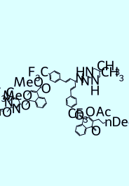 CC1(C)CNC(=NN=C(C=Cc2ccc(C(F)(F)F)cc2)C=Cc2ccc(C(F)(F)F)cc2)NC1.CCCCCCCCCCCCC1=C(OC(C)=O)C(=O)c2ccccc2C1=O.CO/C=C(/C(=O)OC)c1ccccc1COc1cc(C(F)(F)F)nc(OC(C)C)n1